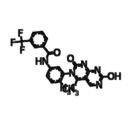 Cc1ccc(NC(=O)c2cccc(C(F)(F)F)c2)cc1-n1c(C)c2cnc(O)nc2nc1=O